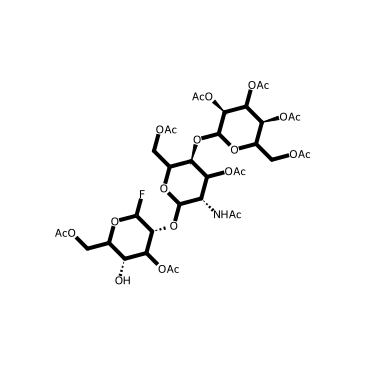 CC(=O)N[C@@H]1C(O[C@H]2C(F)OC(COC(C)=O)[C@@H](O)C2OC(C)=O)OC(COC(C)=O)[C@@H](OC2OC(COC(C)=O)[C@H](OC(C)=O)C(OC(C)=O)[C@@H]2OC(C)=O)C1OC(C)=O